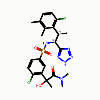 Cc1ccc(F)c([C@@H](C)[C@H](NS(=O)(=O)c2ccc(Cl)c(C(C)(O)C(=O)N(C)C)c2)c2nn[nH]n2)c1C